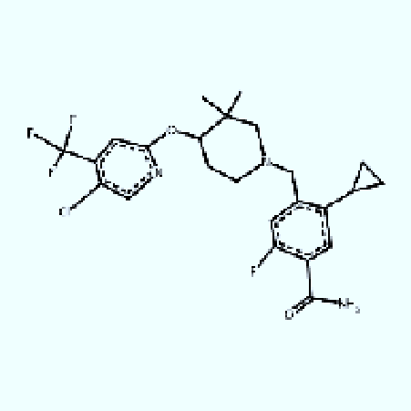 CC1(C)CN(Cc2cc(F)c(C(N)=O)cc2C2CC2)CCC1Oc1cc(C(F)(F)F)c(Cl)cn1